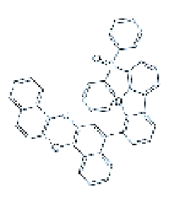 O=P(c1ccccc1)(c1ccccc1)c1cccc2c1oc1c(-c3cc4c(c5ccccc35)Oc3ccc5ccccc5c3O4)cccc12